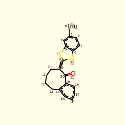 CC(C)(C)c1ccc2c(c1)S/C(=C1\CCCCc3ccccc3C1=O)S2